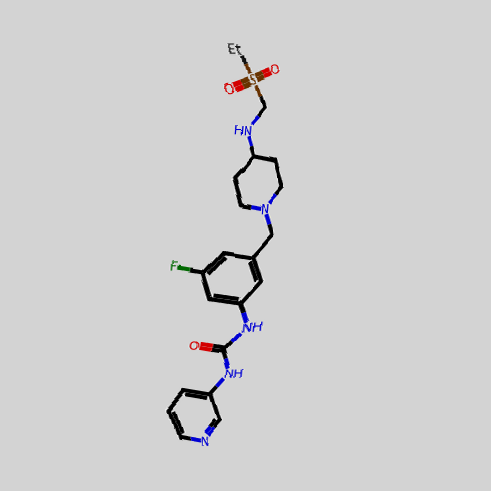 CCS(=O)(=O)CNC1CCN(Cc2cc(F)cc(NC(=O)Nc3cccnc3)c2)CC1